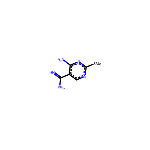 CSc1ncc(C(=N)N)c(N)n1